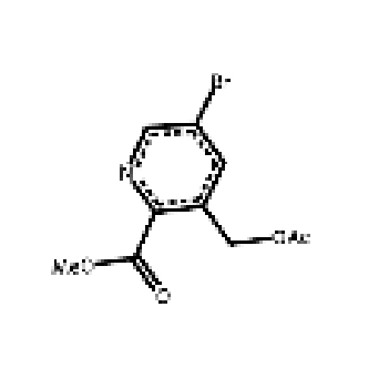 COC(=O)c1ncc(Br)cc1COC(C)=O